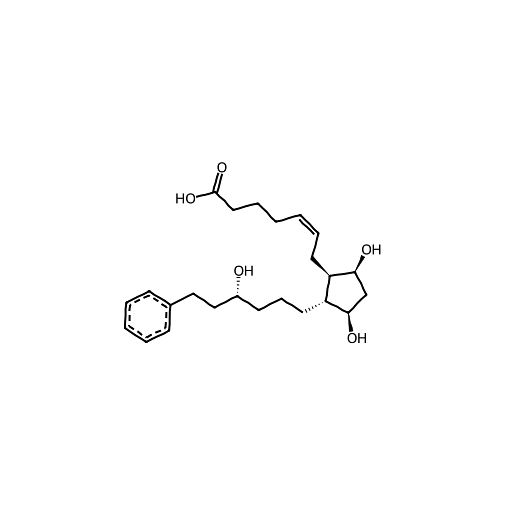 O=C(O)CCC/C=C\C[C@@H]1[C@@H](CCC[C@@H](O)CCc2ccccc2)[C@H](O)C[C@@H]1O